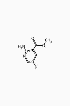 COC(=O)c1cc(F)cnc1N